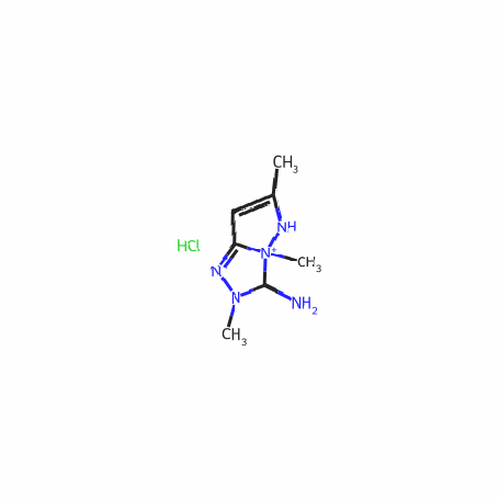 CC1=CC2=NN(C)C(N)[N+]2(C)N1.Cl